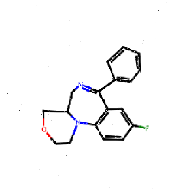 Fc1ccc2c(c1)C(c1ccccc1)=NCC1COCCN21